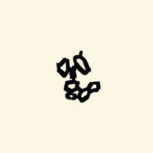 Cc1cccc(N(c2ccccc2)c2ccc3oc4ccc5ccccc5c4c3c2)c1